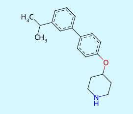 CC(C)c1cccc(-c2ccc(OC3CCNCC3)cc2)c1